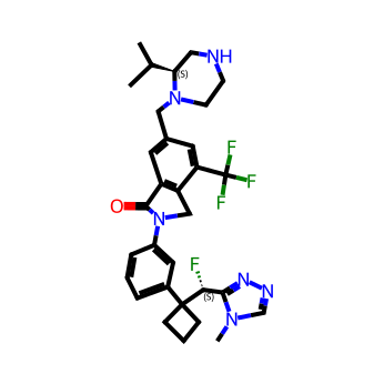 CC(C)[C@H]1CNCCN1Cc1cc2c(c(C(F)(F)F)c1)CN(c1cccc(C3([C@H](F)c4nncn4C)CCC3)c1)C2=O